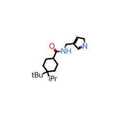 CC(C)C1(C(C)(C)C)CCC(C(=O)NCC2=CCN=C2)CC1